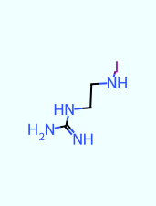 N=C(N)NCCNI